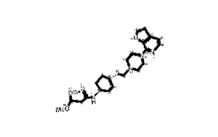 COC(CC(=O)N[C@H]1CC[C@H](CCN2CCN(c3nccc4c3OCC4)CC2)CC1)OC